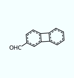 O=Cc1ccc2c(c1)-c1ccccc1-2